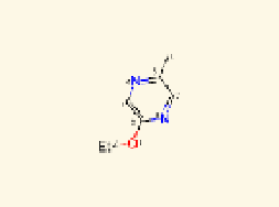 CCOc1cnc(C)cn1